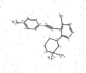 CCc1ncnc(N2CCOC(C)(C)C2)c1C#Cc1ccc(N)nc1